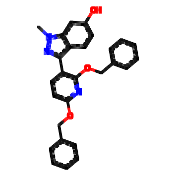 Cn1nc(-c2ccc(OCc3ccccc3)nc2OCc2ccccc2)c2ccc(O)cc21